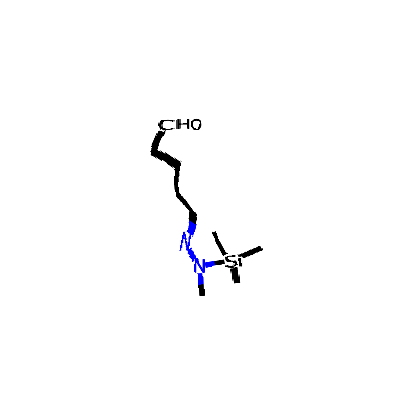 CN(/N=C/CCCC=O)[Si](C)(C)C